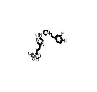 O=C(/C=C/c1cnc(N[C@@H]2CCN(CCc3ccc(F)c(F)c3)C2)cn1)NO